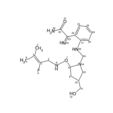 CC(C)=C(F)CNOC1CC(CO)CN1CNc1ccccc1C(=N)C(N)=O